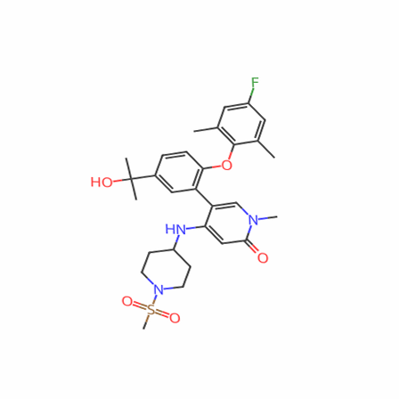 Cc1cc(F)cc(C)c1Oc1ccc(C(C)(C)O)cc1-c1cn(C)c(=O)cc1NC1CCN(S(C)(=O)=O)CC1